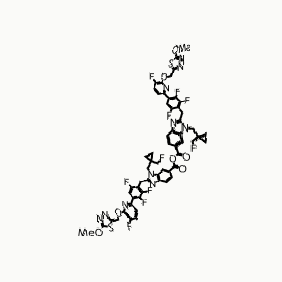 COc1nnc(COc2nc(-c3cc(F)c(Cc4nc5ccc(C(=O)OC(=O)c6ccc7nc(Cc8c(F)cc(-c9ccc(F)c(OCc%10nnc(OC)s%10)n9)c(F)c8F)n(CC8(CF)CC8)c7c6)cc5n4CC4(CF)CC4)c(F)c3F)ccc2F)s1